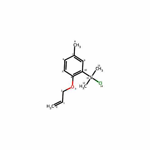 C=CCOc1ccc(C)cc1[Si](C)(C)Cl